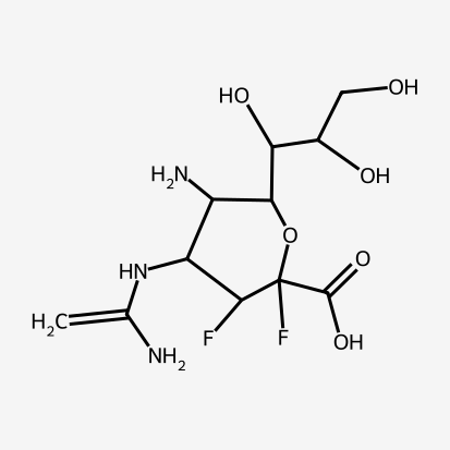 C=C(N)NC1C(N)C(C(O)C(O)CO)OC(F)(C(=O)O)C1F